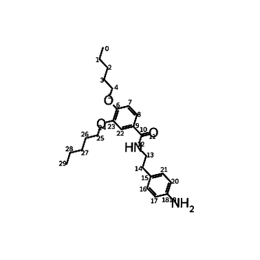 CCCCCOc1ccc(C(=O)NCCc2ccc(N)cc2)cc1OCCCCC